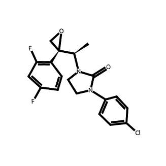 C[C@@H](N1CCN(c2ccc(Cl)cc2)C1=O)[C@]1(c2ccc(F)cc2F)CO1